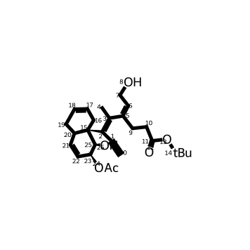 C#C/C(=C(C)\C(=C/CO)CCC(=O)OC(C)(C)C)[C@]12CC=CCC1C=C[C@H](OC(C)=O)[C@@H]2O